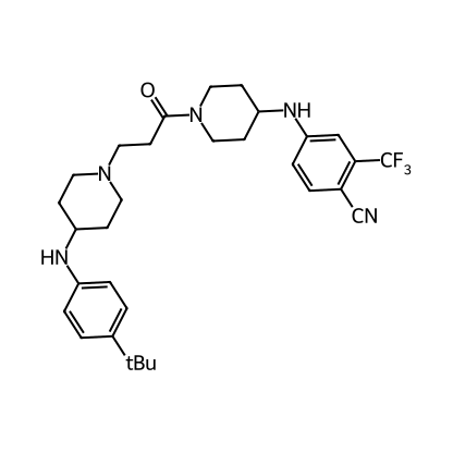 CC(C)(C)c1ccc(NC2CCN(CCC(=O)N3CCC(Nc4ccc(C#N)c(C(F)(F)F)c4)CC3)CC2)cc1